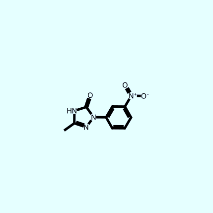 Cc1nn(-c2cccc([N+](=O)[O-])c2)c(=O)[nH]1